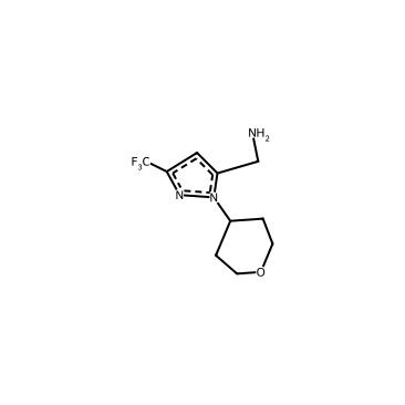 NCc1cc(C(F)(F)F)nn1C1CCOCC1